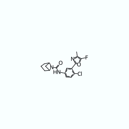 Cc1nc(-c2cc(NC(=O)N3C4CCCC3C4)ccc2Cl)oc1F